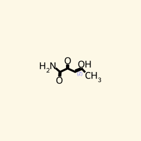 C/C(O)=C/C(=O)C(N)=O